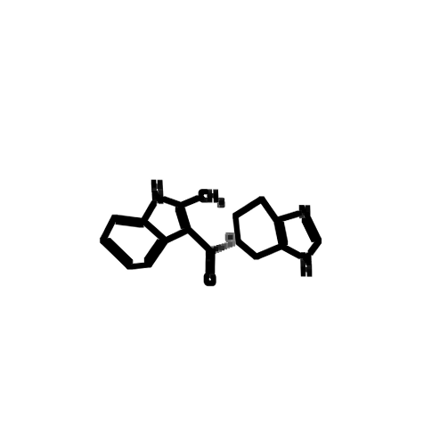 Cc1[nH]c2ccccc2c1C(=O)[C@@H]1CCc2nc[nH]c2C1